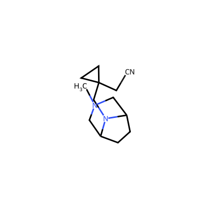 CN1CC2CCC(C1)N2CC1(CC#N)CC1